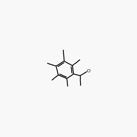 Cc1c(C)c(C)c(C(C)Cl)c(C)c1C